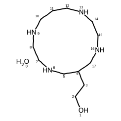 O.OCCC1CNCCNCCCNCCNC1